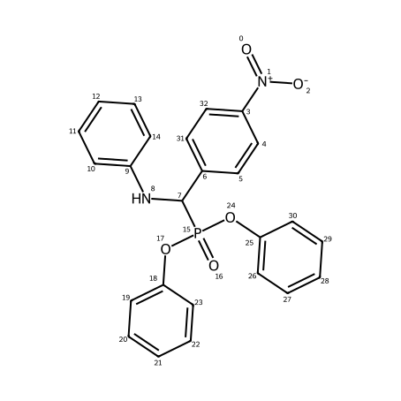 O=[N+]([O-])c1ccc(C(Nc2ccccc2)P(=O)(Oc2ccccc2)Oc2ccccc2)cc1